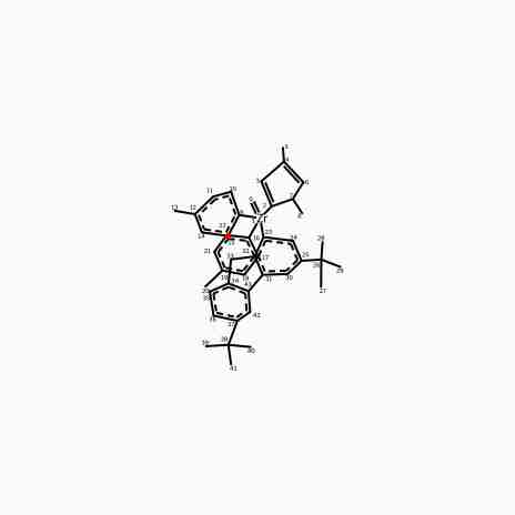 [CH2]=[Zr]([C]1=CC(C)=CC1C)([c]1ccc(C)cc1)([c]1ccc(C)cc1)[c]1cc(C(C)(C)C)cc2c1Cc1ccc(C(C)(C)C)cc1-2